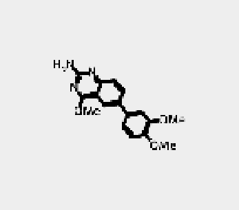 COc1ccc(-c2ccc3nc(N)nc(OC)c3c2)cc1OC